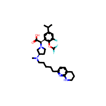 CC(C)c1cc(F)c(OC(F)F)c([C@H](C(=O)O)N2CC[C@@H](N(C)CCCCCc3ccc4c(n3)NCCC4)C2)c1